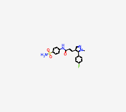 Cn1ncc(C=CC(=O)Nc2ccc(S(N)(=O)=O)cc2)c1-c1ccc(F)cc1